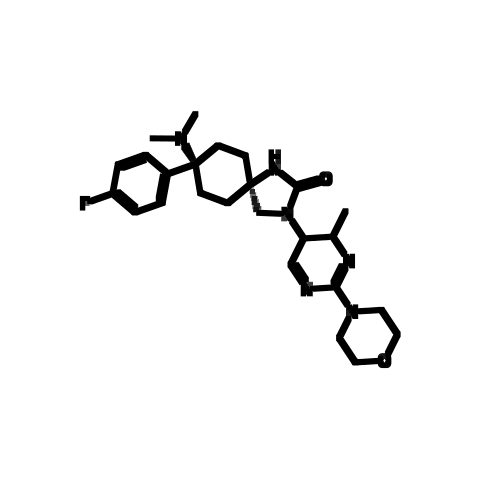 CC1N=C(N2CCOCC2)N=CC1N1C[C@]2(CC[C@](c3ccc(F)cc3)(N(C)C)CC2)NC1=O